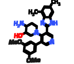 COc1cc(OC)cc(-c2cncc(-c3nc4c(C)cc(C)cc4[nH]3)c2N2CCC(N)C(O)C2)c1